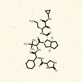 CCC[C@H](NC(=O)[C@@H]1[C@H]2CCC[C@H]2CN1C(=O)[C@@H](NC(=O)[C@@H](NC(=O)C1CNC(=O)N1)C1CCCCC1)C(C)(C)C)C(=O)C(=O)NC1CC1